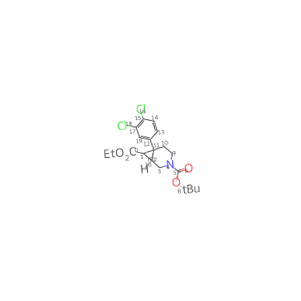 CCOC(=O)C1[C@@H]2CN(C(=O)OC(C)(C)C)CCC12c1ccc(Cl)c(Cl)c1